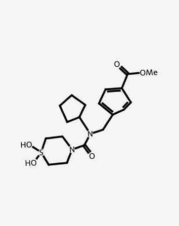 COC(=O)c1ccc(CN(C(=O)N2CCS(O)(O)CC2)C2CCCC2)cc1